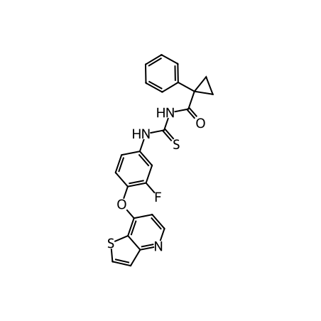 O=C(NC(=S)Nc1ccc(Oc2ccnc3ccsc23)c(F)c1)C1(c2ccccc2)CC1